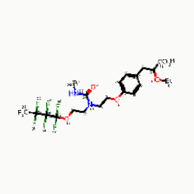 CCOC(Cc1ccc(OCCN(CCOC(F)(F)C(F)(F)C(F)(F)C(F)(F)F)C(=O)NC(C)C)cc1)C(=O)O